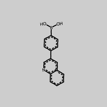 OB(O)c1ccc(-c2cnc3ccccc3c2)cc1